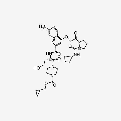 Cc1ccc2c(OCC(=O)N3CCC[C@H]3C(=O)NC3CCC3)cc(C(=O)N[C@@H](CCO)C(=O)N3CCN(C(=O)OCC4CC4)CC3)nc2c1